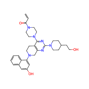 C=CC(=O)N1CCN(c2nc(N3CCC(CCO)CC3)nc3c2CCN(c2cc(O)cc4ccccc24)C3)CC1